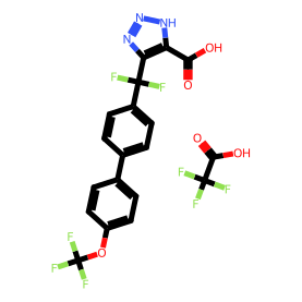 O=C(O)C(F)(F)F.O=C(O)c1[nH]nnc1C(F)(F)c1ccc(-c2ccc(OC(F)(F)F)cc2)cc1